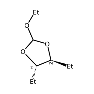 CCOC1O[C@@H](CC)[C@H](CC)O1